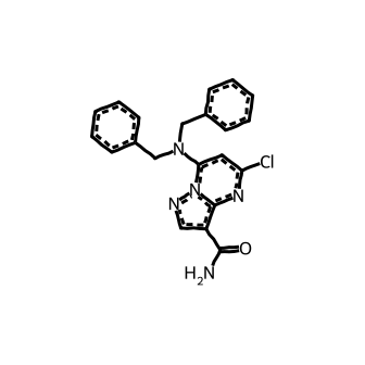 NC(=O)c1cnn2c(N(Cc3ccccc3)Cc3ccccc3)cc(Cl)nc12